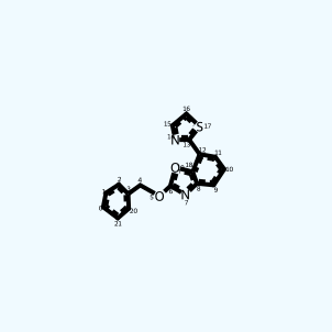 c1ccc(COc2nc3cccc(-c4nccs4)c3o2)cc1